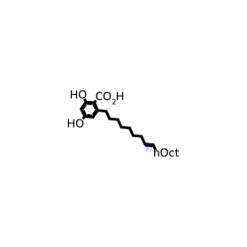 CCCCCCCC/C=C/CCCCCCCc1cc(O)cc(O)c1C(=O)O